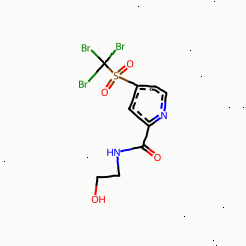 O=C(NCCO)c1cc(S(=O)(=O)C(Br)(Br)Br)ccn1